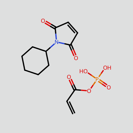 C=CC(=O)OP(=O)(O)O.O=C1C=CC(=O)N1C1CCCCC1